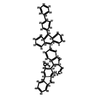 C=Cc1sc2cc(-c3c4ccccc4c(-c4ccc(-c5ccccc5)cc4)c4ccccc34)ccc2c1-c1cc2sc3ccccc3c2cc1C